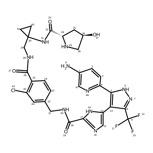 Nc1ccc(-c2[nH]nc(C(F)(F)F)c2-c2cnc(C(=O)NCc3ccc(C(=O)NCC4(NC(=O)[C@@H]5C[C@@H](O)CN5)CC4)c(Cl)c3)[nH]2)nc1